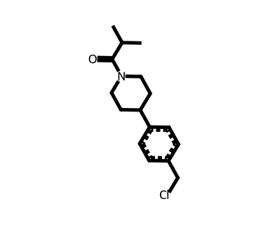 CC(C)C(=O)N1CCC(c2ccc(CCl)cc2)CC1